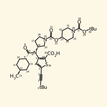 CC(C)(C)C#Cc1cc(N(C(=O)[C@H]2CC[C@H](C)CC2)[C@H]2CCN(C(=O)OC3CCN(C(=O)OC(C)(C)C)CC3)C2)c(C(=O)O)s1